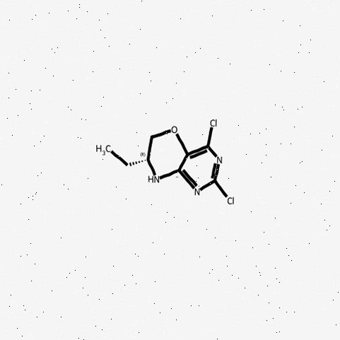 CC[C@@H]1COc2c(Cl)nc(Cl)nc2N1